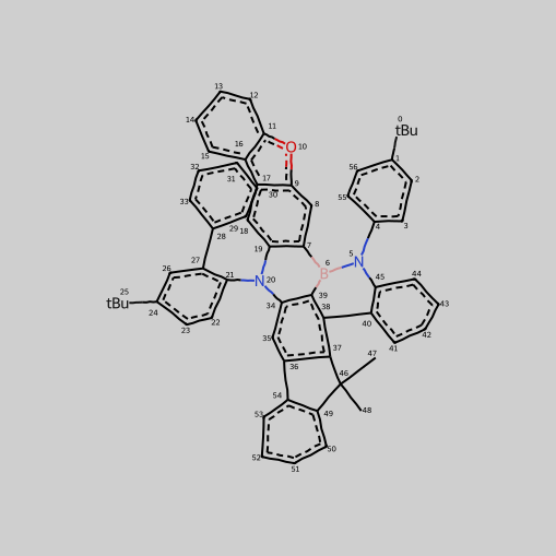 CC(C)(C)c1ccc(N2B3c4cc5oc6ccccc6c5cc4N(c4ccc(C(C)(C)C)cc4-c4ccccc4)c4cc5c(c(c43)-c3ccccc32)C(C)(C)c2ccccc2-5)cc1